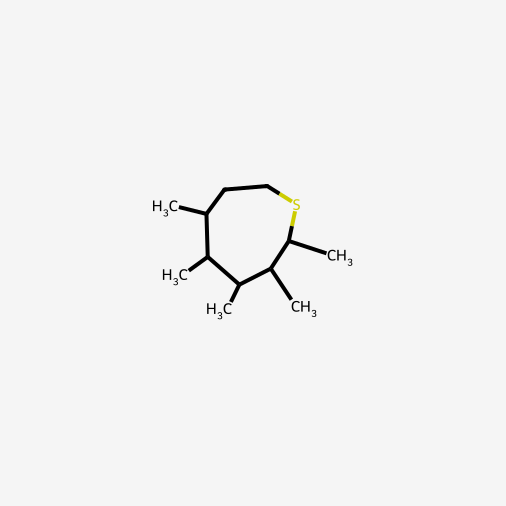 CC1CCSC(C)C(C)C(C)C1C